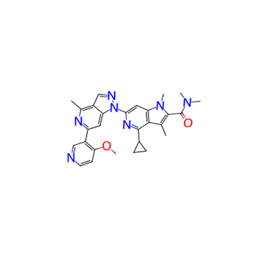 COc1ccncc1-c1cc2c(cnn2-c2cc3c(c(C4CC4)n2)c(C)c(C(=O)N(C)C)n3C)c(C)n1